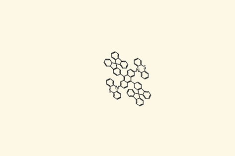 C1=CC2c3ccc(-c4c5cc(N6c7ccccc7Sc7ccccc76)ccc5c(C5C=CC6=C(C5)C5(c7ccccc76)c6ccccc6-c6ccccc65)c5cc(N6c7ccccc7Sc7ccccc76)ccc45)cc3C3(c4ccccc4-c4ccccc43)C2C=C1